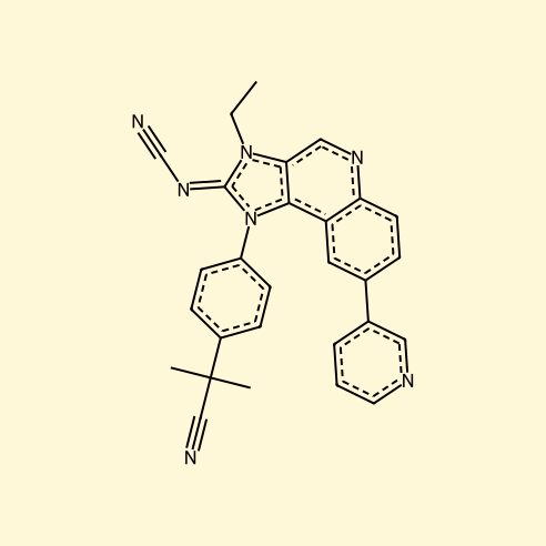 CCn1c(=NC#N)n(-c2ccc(C(C)(C)C#N)cc2)c2c3cc(-c4cccnc4)ccc3ncc21